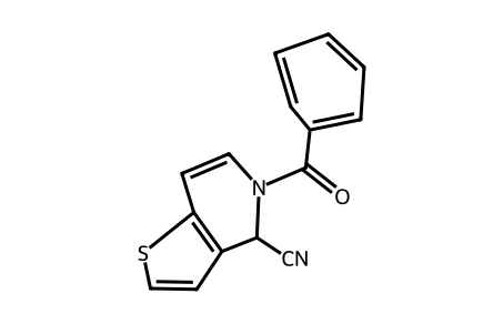 N#CC1c2ccsc2C=CN1C(=O)c1ccccc1